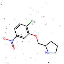 O=[N+]([O-])c1ccc(Cl)c(OCC2CCCN2)c1